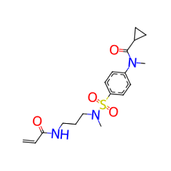 C=CC(=O)NCCCN(C)S(=O)(=O)c1ccc(N(C)C(=O)C2CC2)cc1